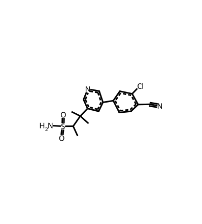 CC(C(C)(C)c1cncc(-c2ccc(C#N)c(Cl)c2)c1)S(N)(=O)=O